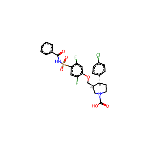 O=C(NS(=O)(=O)c1cc(F)c(OC[C@@H]2CN(C(=O)O)CC[C@H]2c2ccc(Cl)cc2)cc1F)c1ccccc1